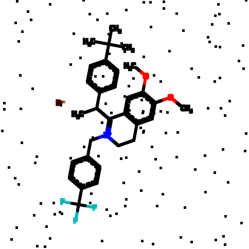 COc1cc2c(cc1OC)C(C(C)c1ccc(C(C)(C)C)cc1)=[N+](Cc1ccc(C(F)(F)F)cc1)CC2.[Br-]